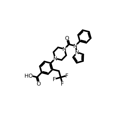 O=C(O)c1ccc(N2CCN(C(=O)N(c3ccccc3)n3cccc3)CC2)c(CC(F)(F)F)c1